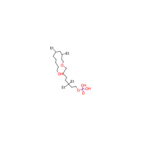 CCC(CCCCCO)CC(CC)CCOCCCCC(CC)(CC)CCOP(=O)(O)O